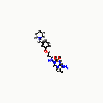 CN1CN(NCCCOc2cccc(CN3CCCCC3)c2)S(=O)(=O)N=C1N